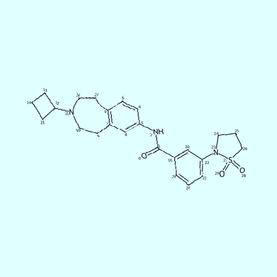 O=C(Nc1ccc2c(c1)CCN(C1CCC1)CC2)c1cccc(N2CCCS2(=O)=O)c1